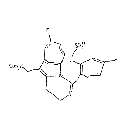 CCOC(=O)Cc1c2n(c3ccc(F)cc13)C(c1ccc(C)cc1OS(=O)(=O)O)=NCC2